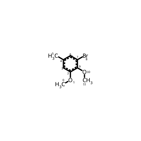 COc1cc(C)[c]c(Br)c1OC